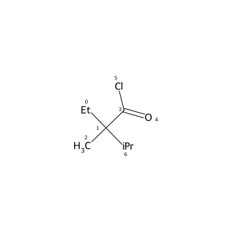 CCC(C)(C(=O)Cl)C(C)C